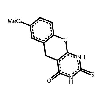 COc1ccc2c(c1)Cc1c([nH]c(=S)[nH]c1=O)O2